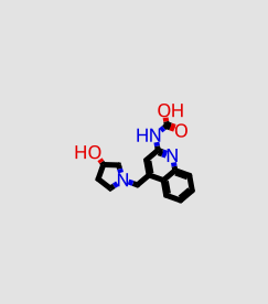 O=C(O)Nc1cc(CN2CCC(O)C2)c2ccccc2n1